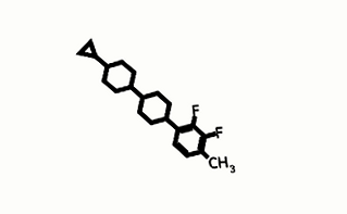 Cc1ccc(C2CCC(C3CCC(C4CC4)CC3)CC2)c(F)c1F